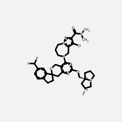 CN(C)C(=O)c1nn2c(c1Cl)CN(c1nc(OC[C@@]34CCCN3C[C@H](F)C4)nc3c1COC1(CCc4ccc(C(F)F)cc41)C3)CCC2